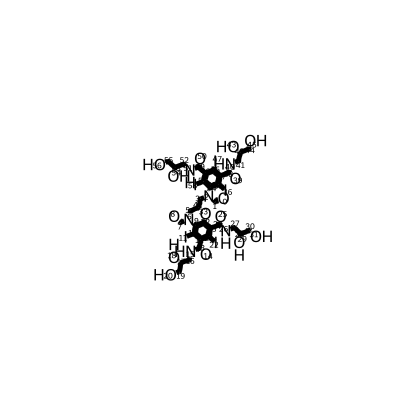 O=CN(CC1CN(C=O)c2c(I)c(C(=O)NCC(O)CO)c(I)c(C(=O)NCC(O)CO)c2O1)c1c(I)c(C(=O)NCC(O)CO)c(I)c(C(=O)NCC(O)CO)c1I